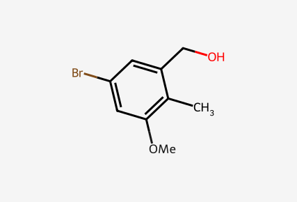 COc1cc(Br)cc(CO)c1C